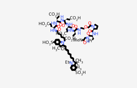 CC[N+]1=C(/C=C/C=C/C=C/C=C2/N(CCCCCC(=O)N[C@H](CCC(=O)O)C(=O)N[C@H](CCC(=O)O)C(=O)N[C@H](CCC(=O)O)C(=O)N[C@H](CCC(=O)O)C(=O)N[C@H](CCC(=O)O)C(=O)NCCOCC(=O)N3CCC[C@H]3C(=O)N[C@@H](CC(C)C)C(=O)NCC(=O)NC)c3ccc(S(=O)(=O)O)cc3C2(C)C)C(C)(C)c2cc(S(=O)(=O)O)ccc21